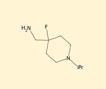 CC(C)N1CCC(F)(CN)CC1